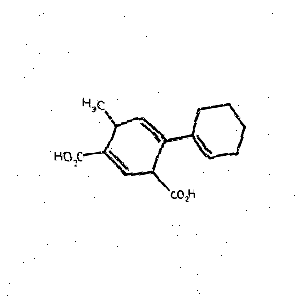 CC1C=C(C2=CCCCC2)C(C(=O)O)C=C1C(=O)O